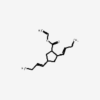 C=COC(=O)C1CC(/C=C/CC)CC1/C=C/CC